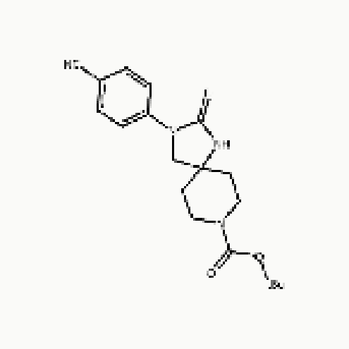 CC(C)(C)OC(=O)N1CCC2(CC1)CN(c1ccc(C#N)cc1)C(=O)N2